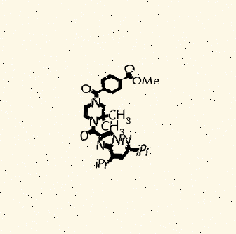 COC(=O)[C@H]1CC[C@@H](C(=O)N2CCN(C(=O)c3cn4nc(C(C)C)cc(C(C)C)c4n3)C(C)(C)C2)CC1